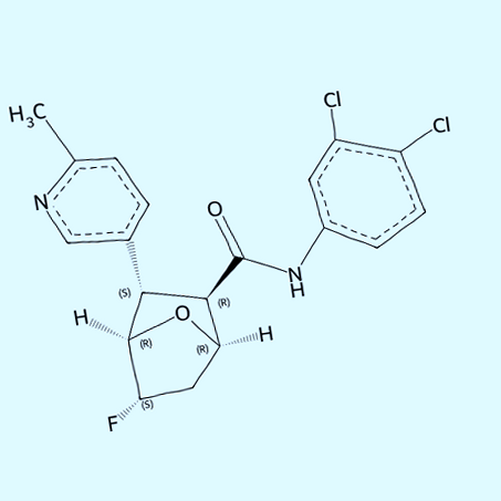 Cc1ccc([C@H]2[C@H]3O[C@H](C[C@@H]3F)[C@@H]2C(=O)Nc2ccc(Cl)c(Cl)c2)cn1